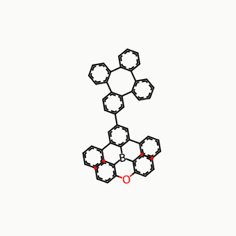 c1ccc(-c2cc(-c3ccc4c(c3)-c3ccccc3-c3ccccc3-c3ccccc3-4)cc(-c3ccccc3)c2B2c3ccccc3Oc3ccccc32)cc1